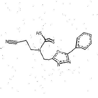 N#CCCN(Cc1nnc(-c2ccccc2)o1)C(=S)S